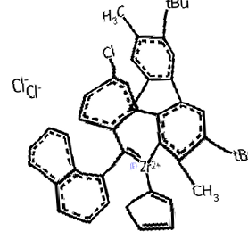 Cc1cc2c(cc1C(C)(C)C)-c1cc(C(C)(C)C)c(C)[c](/[Zr+2]([C]3=CC=CC3)=[C](\c3ccc(Cl)cc3)c3cccc4ccccc34)c1C2.[Cl-].[Cl-]